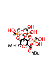 CCCCOC[C@H]1O[C@H](OC)[C@H](OP(=O)(O)CO)[C@@H](OP(=O)(O)CO)[C@@H]1OP(=O)(O)CO